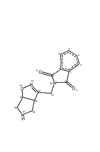 O=C1c2ccccc2C(=O)N1CC1=NOC2CNCC12